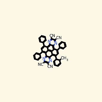 CC1C=CC=CC1c1cc(-c2ccccc2)c2c3nc(C#N)c(C#N)nc3c3c(-c4ccccc4)cc(-c4ccccc4)c4c5nc(C#N)c(C#N)nc5c1c2c34